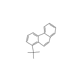 CC(C)(C)c1cccc2c1ccc1ccccc12